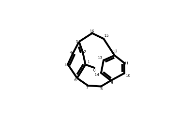 Cc1cc2ccc1CCc1ccc(cc1)CC2